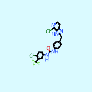 O=C(Nc1ccc(Cc2nc3ccnc(Cl)c3[nH]2)cc1)Nc1ccc(Cl)c(C(F)(F)F)c1